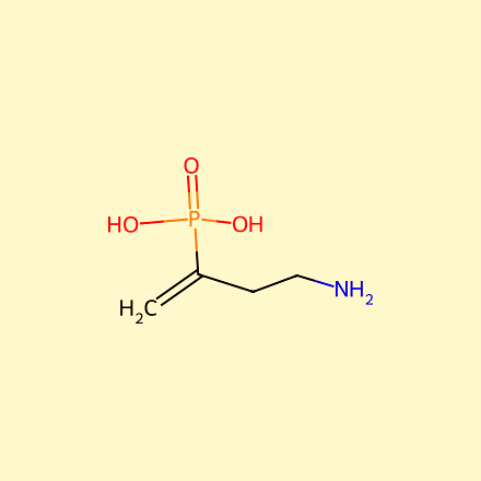 C=C(CCN)P(=O)(O)O